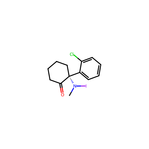 CN(I)[C@@]1(c2ccccc2Cl)CCCCC1=O